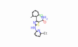 CCc1cccc(Nc2nc(-c3c(C)cccc3Cl)c(C(N)=O)s2)n1